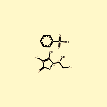 O=C1O[C@H]([C@@H](O)CO)C(O)=C1O.O=S(=O)(O)c1ccccc1